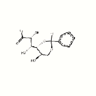 [2H]C(=O)[C@H](O)[C@@H](O)[C@@H]1OC([2H])(c2ccccc2)OC[C@H]1O